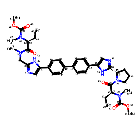 CCCN(Cc1ncc(-c2ccc(-c3ccc(-c4cnc([C@@H]5CCCN5C(=O)[C@H](CC(C)C)N(C)C(=O)OC(C)(C)C)[nH]4)cc3)cc2)[nH]1)C(=O)[C@H](CC(C)C)N(C)C(=O)OC(C)(C)C